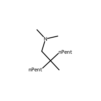 CCCCCC(C)(CCCCC)CN(C)C